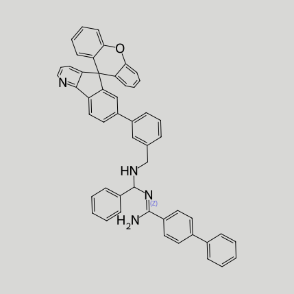 N/C(=N\C(NCc1cccc(-c2ccc3c(c2)C2(c4ccccc4Oc4ccccc42)c2cccnc2-3)c1)c1ccccc1)c1ccc(-c2ccccc2)cc1